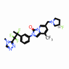 Cn1cnnc1C(F)(F)C(C)(F)c1cccc(-n2cc3c(C(F)(F)F)cc(CN4CC[C@H](F)C4)cn3c2=O)c1